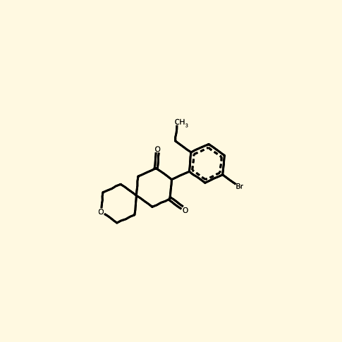 CCc1ccc(Br)cc1C1C(=O)CC2(CCOCC2)CC1=O